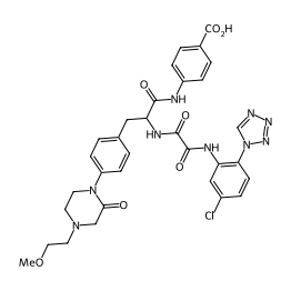 COCCN1CCN(c2ccc(CC(NC(=O)C(=O)Nc3cc(Cl)ccc3-n3cnnn3)C(=O)Nc3ccc(C(=O)O)cc3)cc2)C(=O)C1